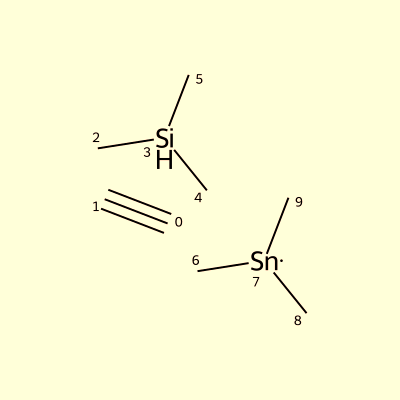 C#C.C[SiH](C)C.[CH3][Sn]([CH3])[CH3]